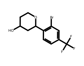 OC1CCOC(c2ccc(C(F)(F)F)cc2Br)C1